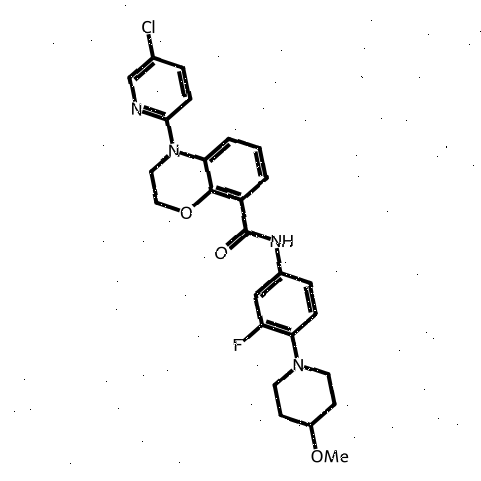 COC1CCN(c2ccc(NC(=O)c3cccc4c3OCCN4c3ccc(Cl)cn3)cc2F)CC1